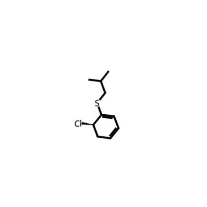 CC(C)CSC1=CC=CC[C@H]1Cl